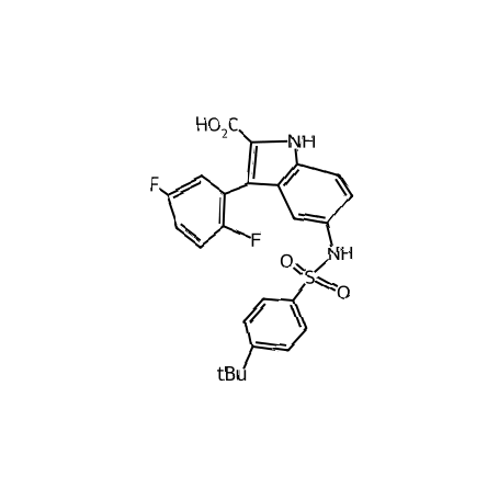 CC(C)(C)c1ccc(S(=O)(=O)Nc2ccc3[nH]c(C(=O)O)c(-c4cc(F)ccc4F)c3c2)cc1